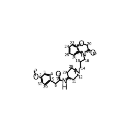 COc1ccc(CC(=O)NC2CCN(CCCN3C(=O)COc4ccccc43)CC2)cc1